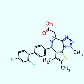 Cc1sc2c(c1C)C(c1ccc(-c3ccc(F)cc3F)cc1)=N[C@@H](CC(=O)O)c1nnc(C)n1-2